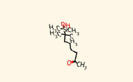 CC(=O)CCCCC(C)(C)[Si](C)(C)O